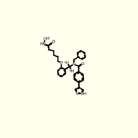 [2H]C([2H])(c1ccccc1OCCCCCC(=O)NO)N(Cc1ccccc1)C(=O)c1ccc(-c2cn[nH]c2)cc1